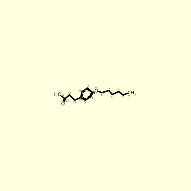 CCCCCCOc1ccc(CCC(=O)O)cc1